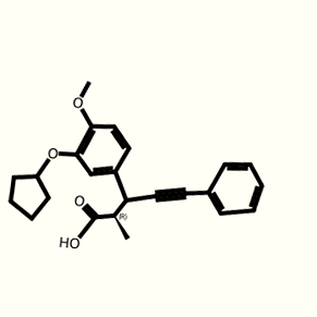 COc1ccc(C(C#Cc2ccccc2)[C@@H](C)C(=O)O)cc1OC1CCCC1